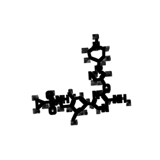 Cc1cc(-c2cnc(N)c(Oc3cnn(C4CCN(C)CC4)c3)n2)cc(C)c1CNS(=O)(=O)C1CC1